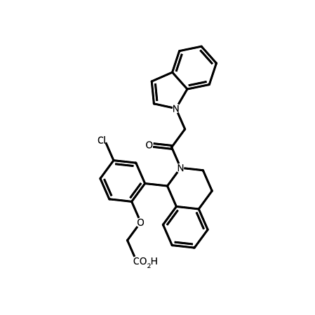 O=C(O)COc1ccc(Cl)cc1C1c2ccccc2CCN1C(=O)Cn1ccc2ccccc21